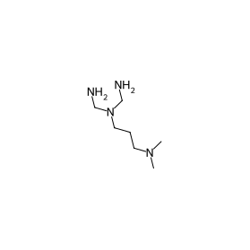 CN(C)CCCN(CN)CN